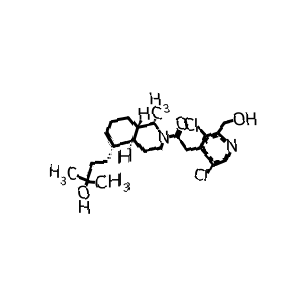 C[C@H]1[C@H]2CCC[C@@H](CCC(C)(C)O)[C@@H]2CCN1C(=O)Cc1c(Cl)cnc(CO)c1Cl